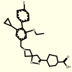 CCOc1cc(CN2CC3(CC(C4CCC(C(=O)O)CC4)=NO3)C2)cc(C2CC2)c1-c1ccc(F)cc1